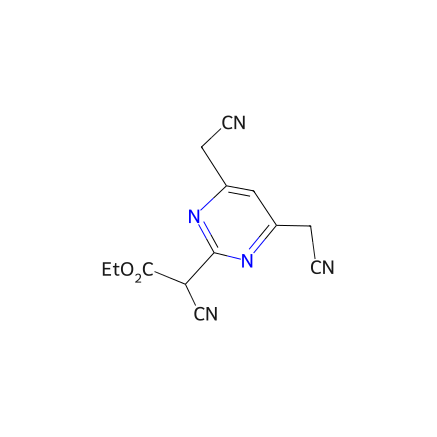 CCOC(=O)C(C#N)c1nc(CC#N)cc(CC#N)n1